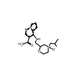 CC(C)C[N+]1([O-])CCOC(CNc2c(C(N)=O)cnn3cccc23)C1